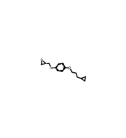 c1cc(OCC2CO2)ccc1OCCCC1CC1